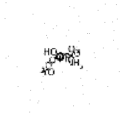 COC(=O)C(C)(Cc1ccc(OCOC(=O)C(C)(C)C)c(O)c1)NN